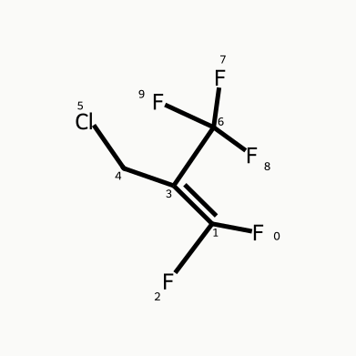 FC(F)=C(CCl)C(F)(F)F